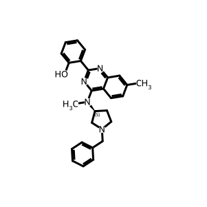 Cc1ccc2c(N(C)[C@H]3CCN(Cc4ccccc4)C3)nc(-c3ccccc3O)nc2c1